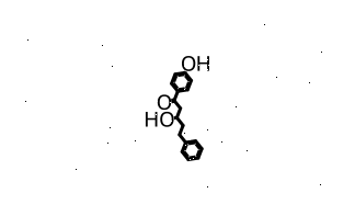 O=C(CC(O)CCc1ccccc1)c1ccc(O)cc1